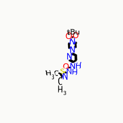 Cc1nc(NC(=O)Nc2ccc(N3CCN(C(=O)OC(C)(C)C)CC3)nc2)sc1C